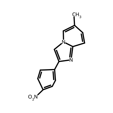 Cc1ccc2nc(-c3ccc([N+](=O)[O-])cc3)cn2c1